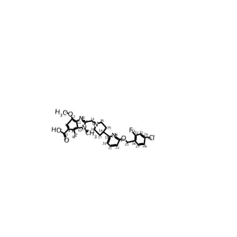 COc1cc(C(=O)O)c(F)c2c1nc(CN1CCC(c3cccc(OCc4ccc(Cl)cc4F)n3)CC1)n2C